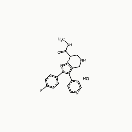 CNC(=O)C1CNCc2c(-c3ccncc3)c(-c3ccc(F)cc3)nn21.Cl